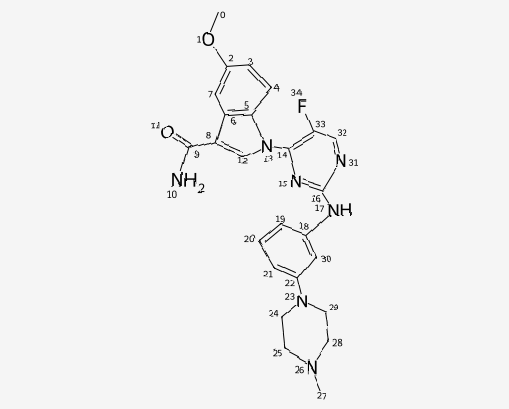 COc1ccc2c(c1)c(C(N)=O)cn2-c1nc(Nc2cccc(N3CCN(C)CC3)c2)ncc1F